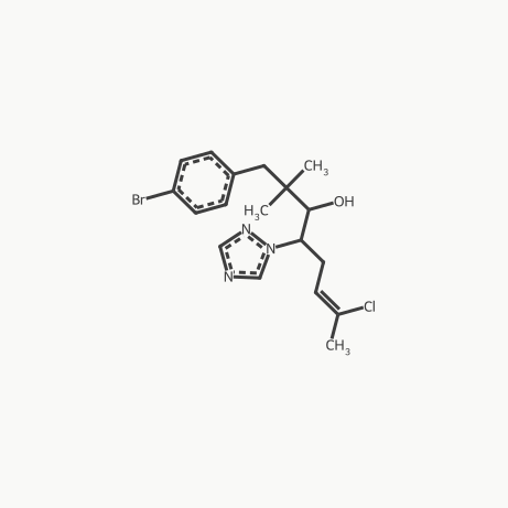 CC(Cl)=CCC(C(O)C(C)(C)Cc1ccc(Br)cc1)n1cncn1